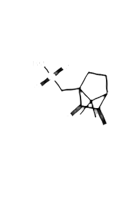 C=C1C(=O)C2(CS(=O)(=O)O)CCC1C2(C)C